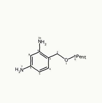 CCCCCOCc1ccc(N)cc1N